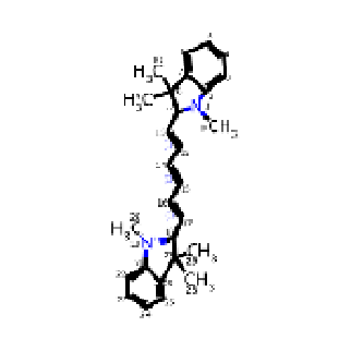 CN1c2ccccc2C(C)(C)C1/C=C/C=C/C=C/C1=[N+](C)c2ccccc2C1(C)C